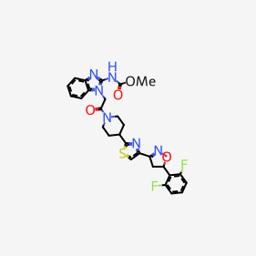 COC(=O)Nc1nc2ccccc2n1CC(=O)N1CCC(c2nc(C3=NOC(c4c(F)cccc4F)C3)cs2)CC1